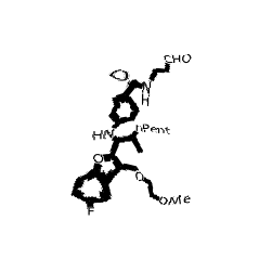 CCCCCC(C)C(Nc1ccc(C(=O)NCCC=O)cc1)c1oc2ccc(F)cc2c1COCCOC